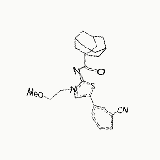 COCCn1cc(-c2cccc(C#N)c2)s/c1=N\C(=O)C12CC3CC(CC(C3)C1)C2